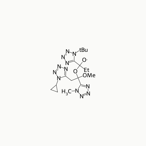 CCC([O])(OC(Cc1nnnn1C1CC1)(OC)c1nnnn1C)c1nnnn1C(C)(C)C